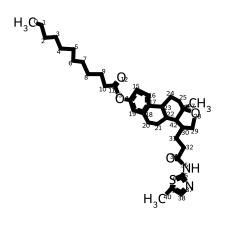 CCCCCCCCCCCC(=O)Oc1ccc2c(c1)CCC1C2CC[C@]2(C)OCC(CCC(=O)Nc3ncc(C)s3)C12